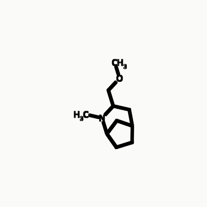 COCC1CC2CCC(C2)N1C